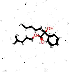 CCCCCC(O)(C(=O)OCCCC(C)C)c1ccccc1